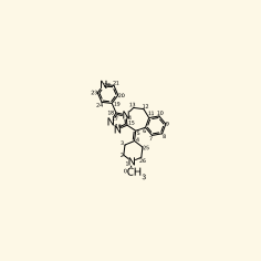 CN1CCC(=C2c3ccccc3CCn3c2nnc3-c2ccncc2)CC1